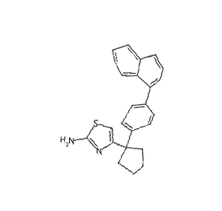 Nc1nc(C2(c3ccc(-c4cccc5ccccc45)cc3)CCCC2)cs1